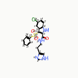 O=C(NCCc1c[nH]cn1)c1[nH]c2ccc(Cl)cc2c1S(=O)(=O)c1ccccc1